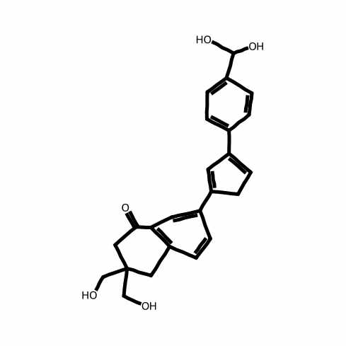 O=C1CC(CO)(CO)Cc2ccc(C3=CC(c4ccc(C(O)O)cc4)=CC3)cc21